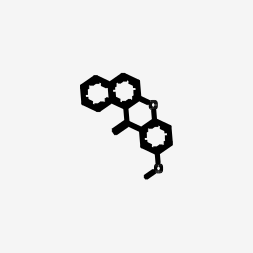 C=C1c2cc(OC)ccc2Oc2ccc3ccccc3c21